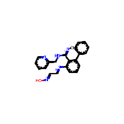 C/N=C(/NCc1ccccn1)c1c(/N=C/C=N/O)cccc1-c1ccccc1